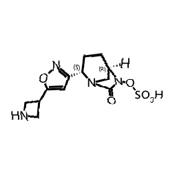 O=C1N2C[C@@H](CC[C@H]2c2cc(C3CNC3)on2)N1OS(=O)(=O)O